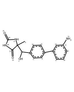 CC1(C(O)c2ccc(-c3cccc(N)c3)cc2)NC(=O)NC1=O